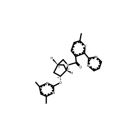 Cc1cc(C)nc(O[C@@H]2C[C@H]3C[C@@H]2N(C(=O)c2ccc(C)nc2-c2ncccn2)C3)n1